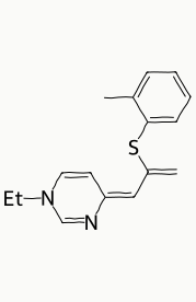 C=C(/C=C1\C=CN(CC)C=N1)Sc1ccccc1C